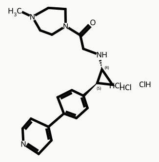 CN1CCN(C(=O)CN[C@@H]2C[C@H]2c2ccc(-c3ccncc3)cc2)CC1.Cl.Cl.Cl